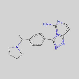 CC(c1ccc(-c2nnc3ccnc(N)n23)cc1)N1CCCC1